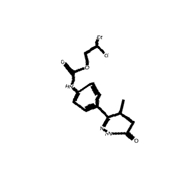 CCC(Cl)COC(=O)Nc1ccc(C2=NNC(=O)CC2C)cc1